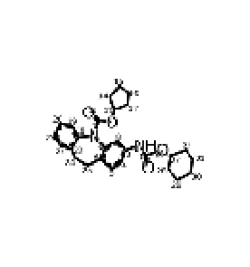 O=C(Nc1ccc2c(c1)N(C(=O)OC1CCCC1)c1ccccc1CC2)OC1CCCCC1